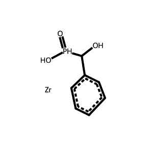 O=[PH](O)C(O)c1ccccc1.[Zr]